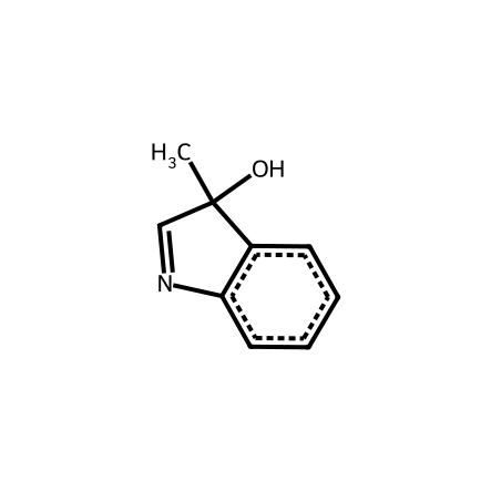 CC1(O)C=Nc2ccccc21